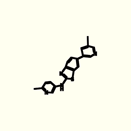 Cc1cncc(-c2ccc3nc(Nc4ccc(C)nc4)sc3c2)c1